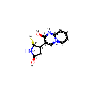 O=C1CC(c2cn3ccccc3nc2=O)C(=S)N1